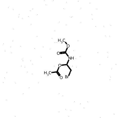 COC(=O)NC(CBr)OC(C)=O